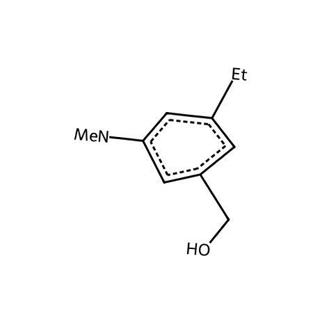 CCc1cc(CO)cc(NC)c1